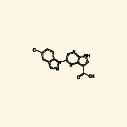 O=C(O)c1c[nH]c2ncc(-n3ncc4cc(Cl)ccc43)nc12